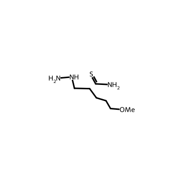 COCCCCCNN.NC=S